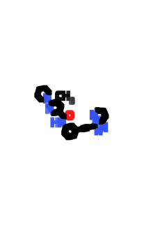 Cc1cc(C(=O)Nc2cccc(C#Cc3nnc4cccnn34)c2)cnc1N1CCCCC1